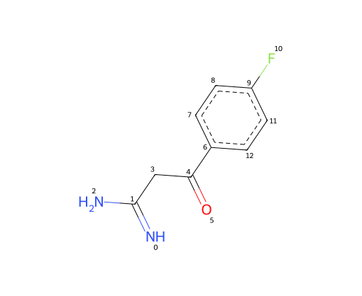 N=C(N)CC(=O)c1ccc(F)cc1